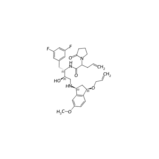 C=CCO[C@@H]1C[C@H](NC[C@@H](O)[C@H](Cc2cc(F)cc(F)c2)NC(=O)C(CC=C)N2CCCC2=O)c2cc(OC)ccc21